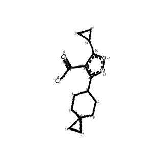 O=C(Cl)c1c(C2CCC3(CC2)CC3)noc1C1CC1